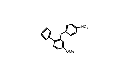 COc1ccc(-c2ccccc2)c(Oc2ccc([N+](=O)[O-])cc2)c1